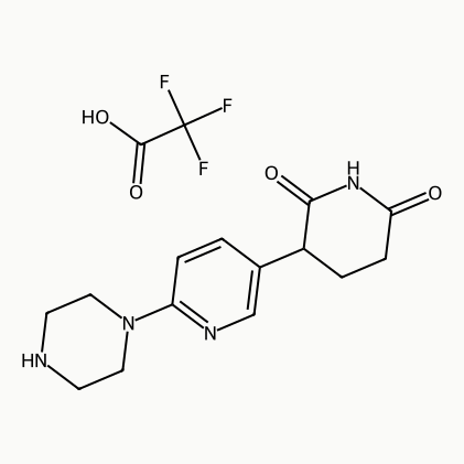 O=C(O)C(F)(F)F.O=C1CCC(c2ccc(N3CCNCC3)nc2)C(=O)N1